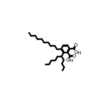 CCCCCCCCCCc1ccc(C(=O)O)c(C(=O)O)c1C(CCCC)CCCCC